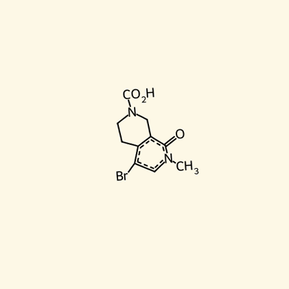 Cn1cc(Br)c2c(c1=O)CN(C(=O)O)CC2